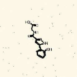 O=C(O)CNC(=O)c1cc(-c2ccccc2O)[nH]n1